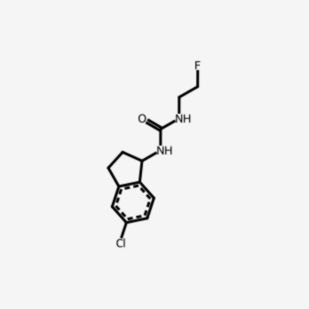 O=C(NCCF)NC1CCc2cc(Cl)ccc21